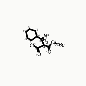 CC(C)(C)OC(=O)C(C(=O)Cl)C(N)C1CCCCC1